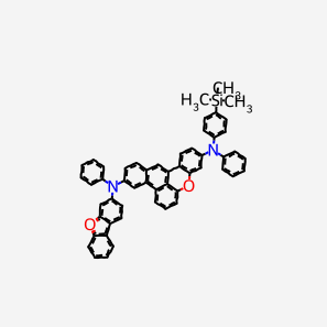 C[Si](C)(C)c1ccc(N(c2ccccc2)c2ccc3c(c2)Oc2cccc4c2c-3cc2ccc(N(c3ccccc3)c3ccc5c(c3)oc3ccccc35)cc24)cc1